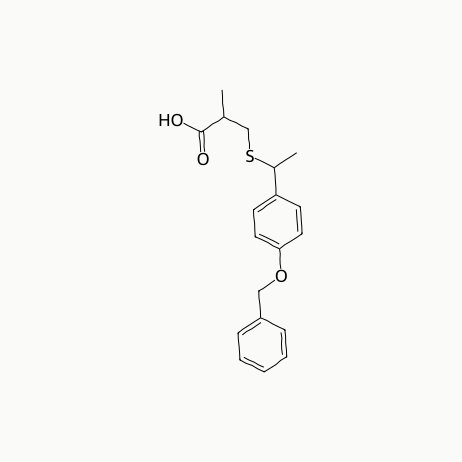 CC(CSC(C)c1ccc(OCc2ccccc2)cc1)C(=O)O